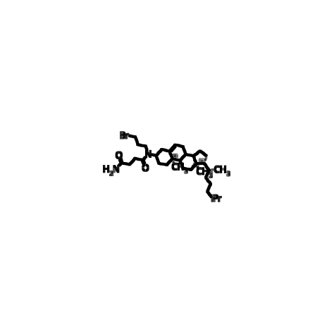 CC(C)CCC[C@@H](C)[C@H]1CCC2C3CC=C4CC(N(CCCBr)C(=O)CCC(N)=O)CC[C@]4(C)C3CC[C@@]21C